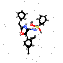 Cc1ccc(-c2oc(Cc3ccccc3)nc2NS(=O)(=O)c2ccccc2)c(C)c1